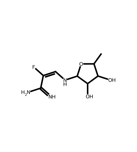 CC1OC(N/C=C(/F)C(=N)N)C(O)C1O